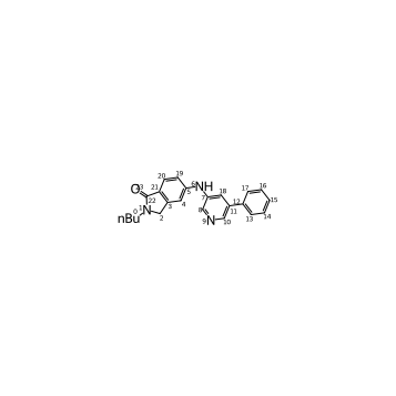 CCCCN1Cc2cc(Nc3cncc(-c4ccccc4)c3)ccc2C1=O